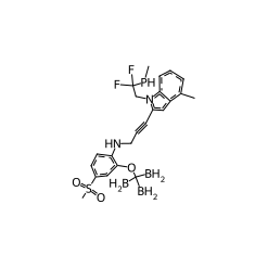 BC(B)(B)Oc1cc(S(C)(=O)=O)ccc1NCC#Cc1cc2c(C)cccc2n1CC(F)(F)PC